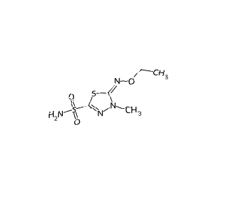 CCON=c1sc(S(N)(=O)=O)nn1C